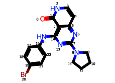 O=c1[nH]ccc2nc(N3CCCC3)nc(Nc3ccc(Br)cc3)c12